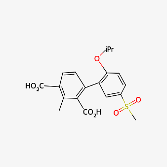 Cc1c(C(=O)O)ccc(-c2cc(S(C)(=O)=O)ccc2OC(C)C)c1C(=O)O